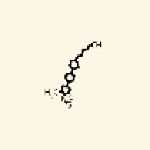 CCCCCCC1CCC(c2ccc(-c3cc(C)c(N=C=S)c(Cl)c3)cc2)CC1